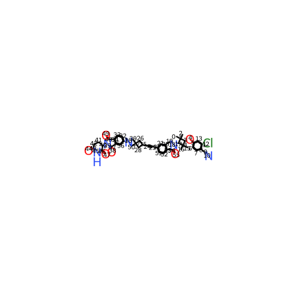 CC1(C)C(Oc2ccc(C#N)c(Cl)c2)C(C)(C)C1N1Cc2cc(C#CC3CC4(C3)CN(c3ccc5c(c3)C(=O)N(C3CCC(=O)NC3=O)C5=O)C4)ccc2C1=O